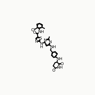 Cc1nc(NCc2ccc(NC3CCC(=O)NC3=O)cc2)cc(Nc2ncc(C(=O)Nc3c(C)cccc3Cl)s2)n1